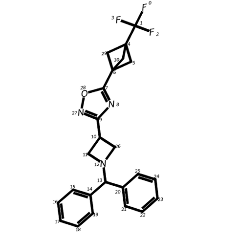 FC(F)(F)C12CC(c3nc(C4CN(C(c5ccccc5)c5ccccc5)C4)no3)(C1)C2